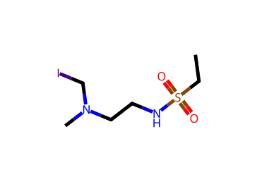 CCS(=O)(=O)NCCN(C)CI